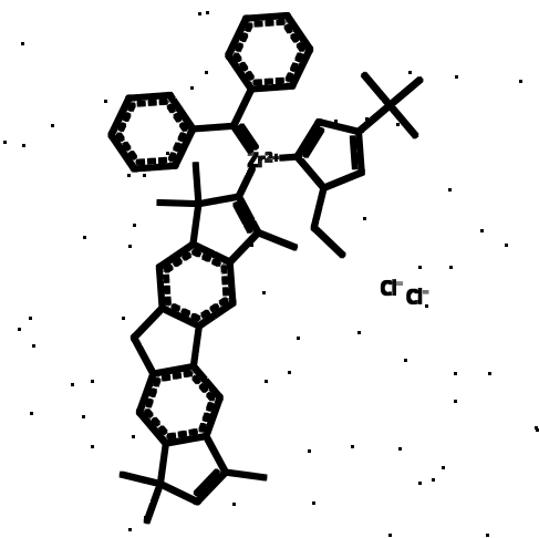 CCC1C=C(C(C)(C)C)C=[C]1[Zr+2]([C]1=C(C)c2cc3c(cc2C1(C)C)Cc1cc2c(cc1-3)C(C)=CC2(C)C)=[C](c1ccccc1)c1ccccc1.[Cl-].[Cl-]